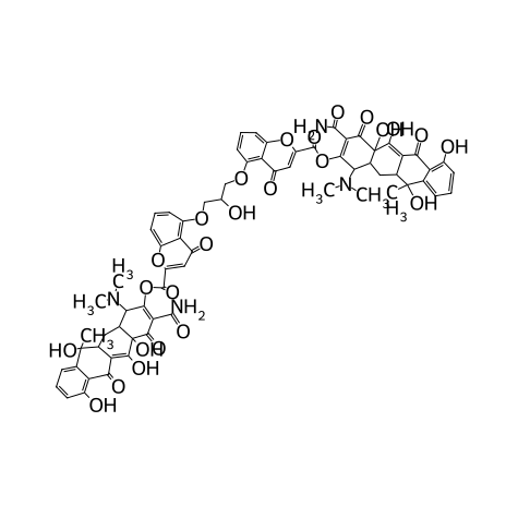 CN(C)C1C(OC(=O)c2cc(=O)c3c(OCC(O)COc4cccc5oc(C(=O)OC6=C(C(N)=O)C(=O)C7(O)C(O)=C8C(=O)c9c(O)cccc9C(C)(O)C8CC7C6N(C)C)cc(=O)c45)cccc3o2)=C(C(N)=O)C(=O)C2(O)C(O)=C3C(=O)c4c(O)cccc4C(C)(O)C3CC12